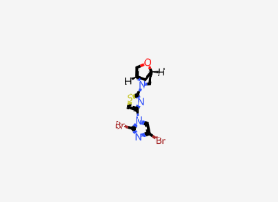 Brc1cn(-c2csc(N3C[C@@H]4C[C@H]3CO4)n2)c(Br)n1